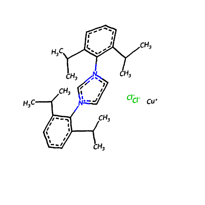 CC(C)c1cccc(C(C)C)c1-n1cc[n+](-c2c(C(C)C)cccc2C(C)C)c1.[Cl-].[Cl-].[Cu+]